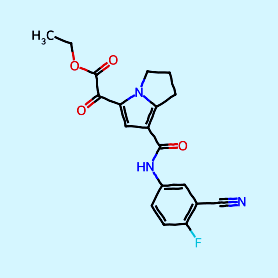 CCOC(=O)C(=O)c1cc(C(=O)Nc2ccc(F)c(C#N)c2)c2n1CCC2